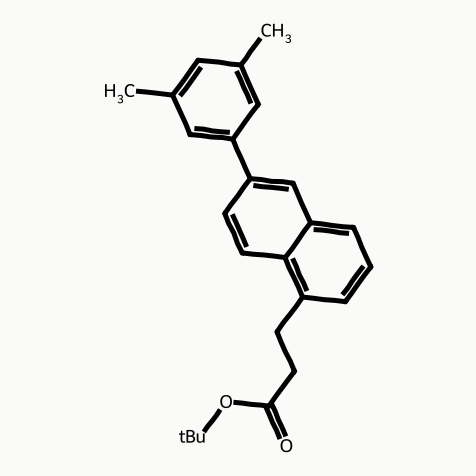 Cc1cc(C)cc(-c2ccc3c(CCC(=O)OC(C)(C)C)cccc3c2)c1